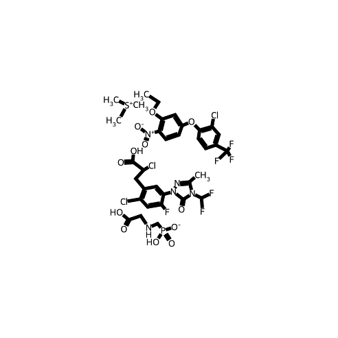 CCOc1cc(Oc2ccc(C(F)(F)F)cc2Cl)ccc1[N+](=O)[O-].C[S+](C)C.Cc1nn(-c2cc(CC(Cl)C(=O)O)c(Cl)cc2F)c(=O)n1C(F)F.O=C(O)CNCP(=O)([O-])O